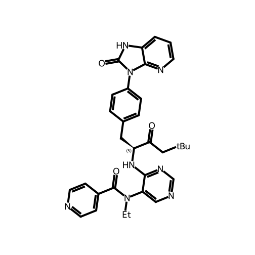 CCN(C(=O)c1ccncc1)c1cncnc1N[C@@H](Cc1ccc(-n2c(=O)[nH]c3cccnc32)cc1)C(=O)CC(C)(C)C